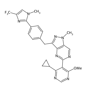 COc1ncnc(C2CC2)c1-c1ncc2c(n1)c(Cc1ccc(-c3nc(C(F)(F)F)cn3C)cc1)nn2C